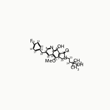 COc1c2c(c(O)c3ncc(Cc4ccc(F)cc4)cc13)C(=O)N(CCC(C)(C)O)C2